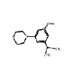 COc1cc(C(C)C=O)cc(N2CCOCC2)c1